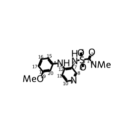 CNC(=O)S(=O)(=O)Nc1cnccc1Nc1cccc(OC)c1